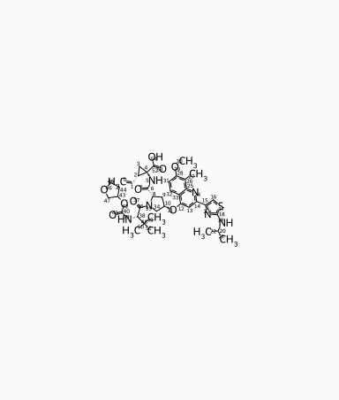 C=C[C@@H]1C[C@]1(NC(=O)[C@@H]1C[C@@H](Oc2cc(-c3csc(NC(C)C)n3)nc3c(C)c(OC)ccc23)CN1C(=O)[C@@H](NC(=O)OC1CCOC1)C(C)(C)C)C(=O)O